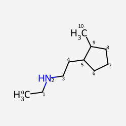 CCNCCC1CCCC1C